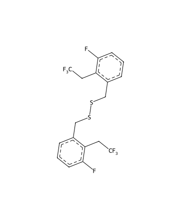 Fc1cccc(CSSCc2cccc(F)c2CC(F)(F)F)c1CC(F)(F)F